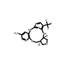 Cc1cnc2c(c1)Nc1ncc(C(F)(F)F)c(n1)N[C@@H]1COC[C@H]1CO2